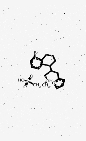 CNCC(Cc1ccco1)C1CCCc2c(Br)cccc21.CS(=O)(=O)O